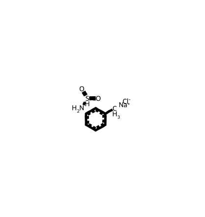 Cc1ccccc1.N[SH](=O)=O.[Cl-].[Na+]